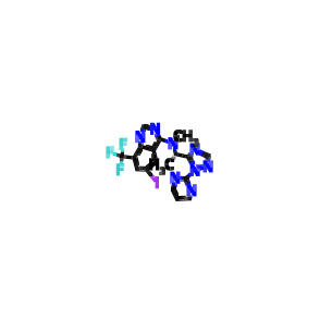 C[C@@H](c1ncnn1-c1ncccn1)N(C)c1ncnc2c(C(F)(F)F)cc(I)cc12